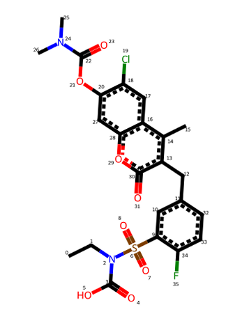 CCN(C(=O)O)S(=O)(=O)c1cc(Cc2c(C)c3cc(Cl)c(OC(=O)N(C)C)cc3oc2=O)ccc1F